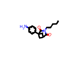 CCCCCN1C(=O)C2CC(c3ccc(N)cc3)(C2)C1=O